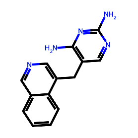 Nc1ncc(Cc2cncc3ccccc23)c(N)n1